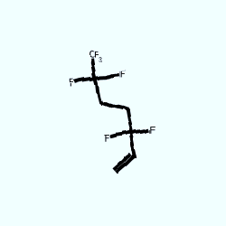 C=CC(F)(F)CCC(F)(F)C(F)(F)F